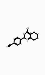 N#Cc1ccc(-c2nc(Cl)c3c(n2)CCCC3)cc1